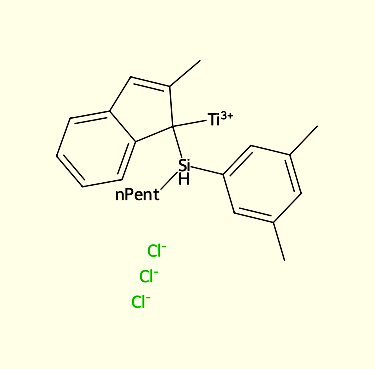 CCCCC[SiH](c1cc(C)cc(C)c1)[C]1([Ti+3])C(C)=Cc2ccccc21.[Cl-].[Cl-].[Cl-]